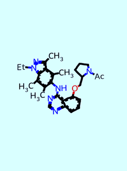 CCn1nc(C)c2c(C)c(Nc3ncnc4cccc(OCC5CCCN5C(C)=O)c34)c(C)c(C)c21